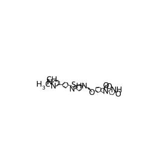 CN(C)c1ccc(-c2ccc(-c3nc4ccc(NC#COc5ccc6c(c5)CN(C5CCC(=O)NC5=O)C6=O)cc4s3)cc2)cn1